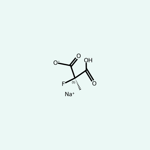 C[C@](F)(C(=O)[O-])C(=O)O.[Na+]